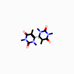 Cc1c([C@H]2C(C)C(=O)N(C)C(=O)N2C)n(C)c(=O)n(C)c1=O